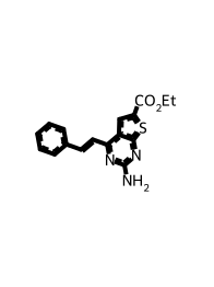 CCOC(=O)c1cc2c(C=Cc3ccccc3)nc(N)nc2s1